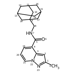 Cc1cc2c(C(=O)NCC34CC5CC(CC(C5)C3)C4)cccn2n1